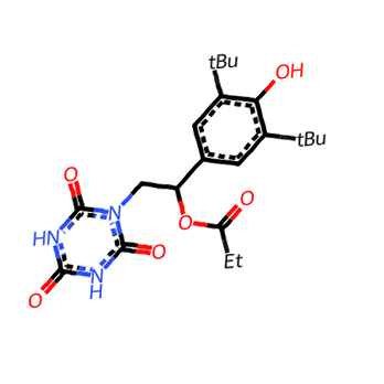 CCC(=O)OC(Cn1c(=O)[nH]c(=O)[nH]c1=O)c1cc(C(C)(C)C)c(O)c(C(C)(C)C)c1